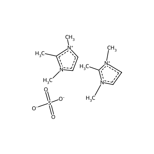 Cc1n(C)cc[n+]1C.Cc1n(C)cc[n+]1C.O=S(=O)([O-])[O-]